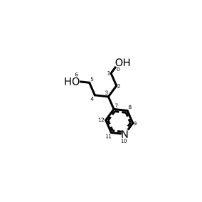 OCCC(CCO)c1ccncc1